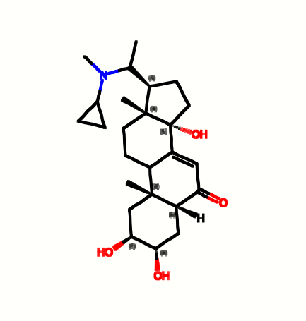 CC([C@H]1CC[C@@]2(O)C3=CC(=O)[C@@H]4C[C@@H](O)[C@@H](O)C[C@]4(C)C3CC[C@]12C)N(C)C1CC1